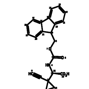 C#CC1([C@@H](NC(=O)OCC2c3ccccc3-c3ccccc32)C(=O)O)CC1